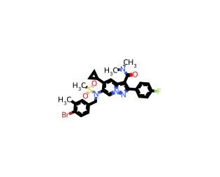 Cc1cc(CN(c2cn3nc(-c4ccc(F)cc4)c(C(=O)N(C)C)c3cc2C2CC2)S(C)(=O)=O)ccc1Br